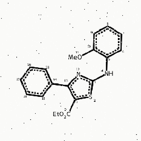 CCOC(=O)c1sc(Nc2ccccc2OC)nc1-c1ccccc1